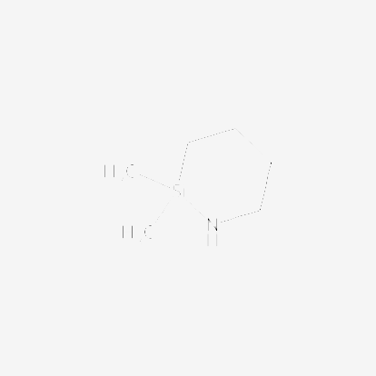 C[Si]1(C)CCCCN1